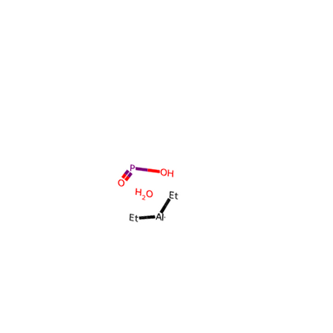 C[CH2][Al][CH2]C.O.O=PO